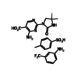 CC1(C)CN(c2ncc(C(=O)O)c(N)n2)C(=O)N1.Cc1ccc(S(=O)(=O)O)cc1.Nc1cccc(C(F)(F)F)c1